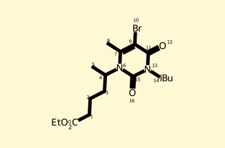 CCOC(=O)CCCC(C)n1c(C)c(Br)c(=O)n(C(C)CC)c1=O